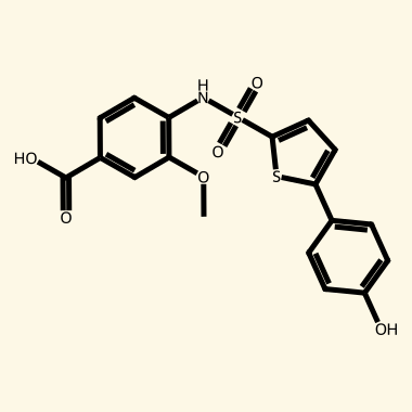 COc1cc(C(=O)O)ccc1NS(=O)(=O)c1ccc(-c2ccc(O)cc2)s1